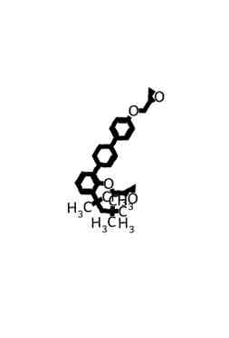 CC(C)(C)CC(C)(C)c1cccc(C2C=CC(c3ccc(OCC4CO4)cc3)CC2)c1OCC1CO1